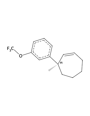 C[C@]1(c2cccc(OC(F)(F)F)c2)C=CCCCC1